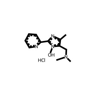 Cc1nc(-c2ccccn2)n(O)c1CN(C)C.Cl